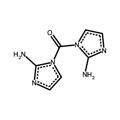 Nc1nccn1C(=O)n1ccnc1N